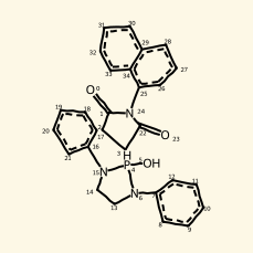 O=C1CC([PH]2(O)N(c3ccccc3)CCN2c2ccccc2)C(=O)N1c1cccc2ccccc12